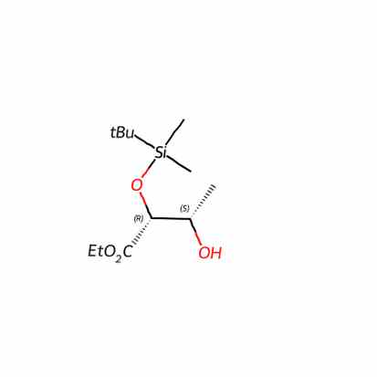 CCOC(=O)[C@H](O[Si](C)(C)C(C)(C)C)[C@H](C)O